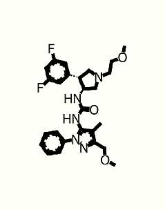 COCCN1C[C@@H](NC(=O)Nc2c(C)c(COC)nn2-c2ccccc2)[C@H](c2cc(F)cc(F)c2)C1